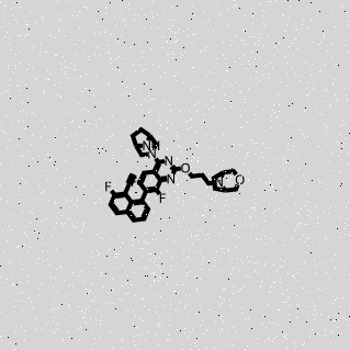 C#Cc1c(F)ccc2cccc(-c3c(F)cc4c(N5CC6CCC(C5)N6)nc(OCCCN5C6CCC5COC6)nc4c3F)c12